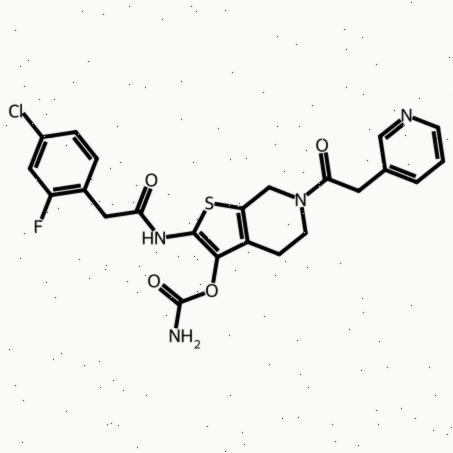 NC(=O)Oc1c(NC(=O)Cc2ccc(Cl)cc2F)sc2c1CCN(C(=O)Cc1cccnc1)C2